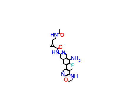 CC(=O)NCCC1CC1C(=O)Nc1cc2cc(-c3cnc4c(c3C)NCCO4)c(F)c(N)c2cn1